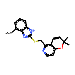 COc1cccc2[nH]c(SCc3nccc4c3C=CC(C)(C)O4)nc12